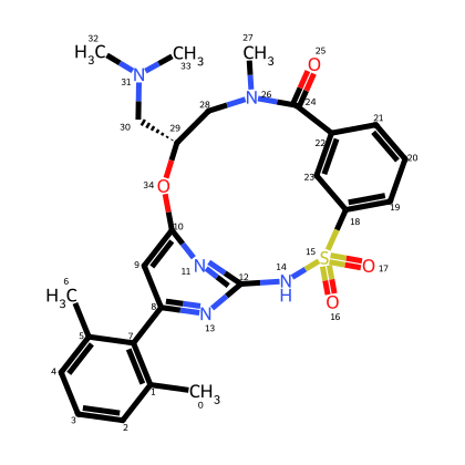 Cc1cccc(C)c1-c1cc2nc(n1)NS(=O)(=O)c1cccc(c1)C(=O)N(C)C[C@@H](CN(C)C)O2